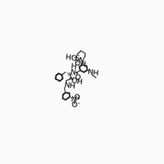 CCNc1cc(C(=O)N[C@@H](Cc2ccccc2)[C@@H](O)CNCc2cccc([N+](=O)[O-])c2)cc(N2CCCCS2(O)O)c1